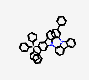 c1ccc(-c2cccc(-n3c4ccccc4c4cccc(-n5c6ccccc6c6cc([Si](c7ccccc7)(c7ccccc7)c7ccccc7)c(-c7ccccc7)cc65)c43)c2)cc1